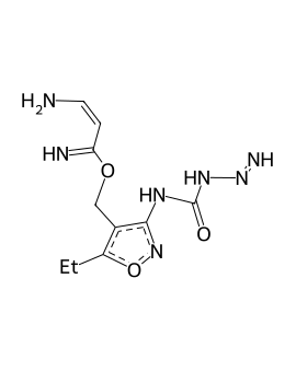 CCc1onc(NC(=O)NN=N)c1COC(=N)/C=C\N